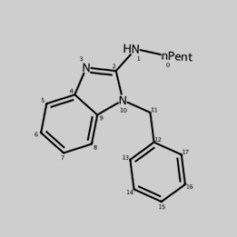 CCCCCNc1nc2ccccc2n1Cc1ccccc1